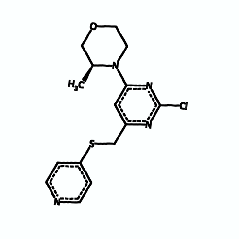 C[C@H]1COCCN1c1cc(CSc2ccncc2)nc(Cl)n1